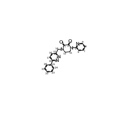 O=C1C(=O)N(c2ccccn2)CCN1Cc1ccc(-c2ccccc2)nn1